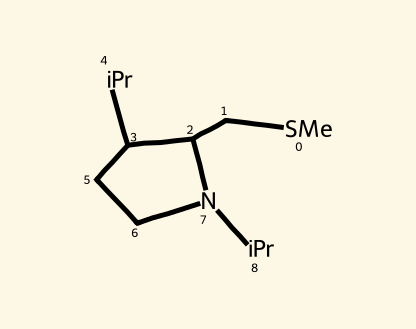 CSCC1C(C(C)C)CCN1C(C)C